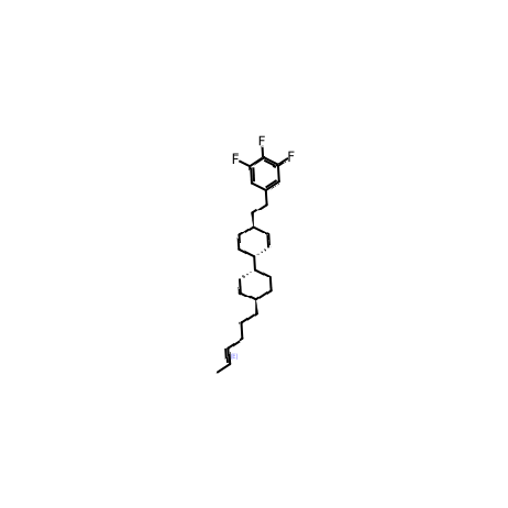 C/C=C/CCC[C@H]1CC[C@H]([C@H]2CC[C@H](CCc3cc(F)c(F)c(F)c3)CC2)CC1